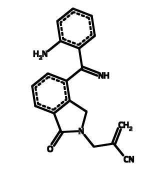 C=C(C#N)CN1Cc2c(C(=N)c3ccccc3N)cccc2C1=O